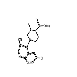 COC(=O)C1CCN(c2c(C#N)cnc3ccc(Cl)cc23)CC1C